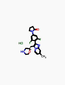 Cc1ccn2c(C[C@H]3CNCCO3)c(-c3c(F)cc(N4CCCC4=O)cc3F)nc2c1.Cl